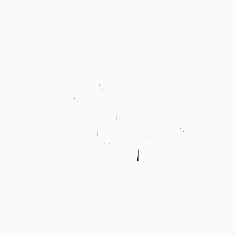 C[C@H](OC(N)=O)c1nc(-c2nccc(C(F)(F)F)n2)no1